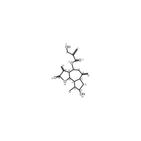 C=C(CO)C(=O)OC1CC(=C)C2CC(O)C(C)C2C2OC(=O)C(=C)C12